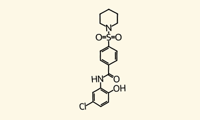 O=C(Nc1cc(Cl)ccc1O)c1ccc(S(=O)(=O)N2CCCCC2)cc1